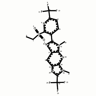 CCS(=O)(=O)c1nc(C(F)(F)F)ccc1-c1nc2cc3nc(C(F)(F)F)n(C)c3nc2n1C